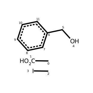 CC(=O)O.CI.OCc1ccccc1